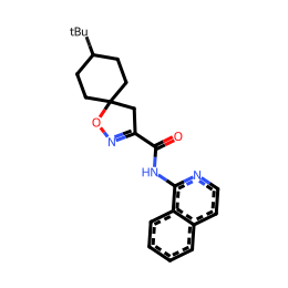 CC(C)(C)C1CCC2(CC1)CC(C(=O)Nc1nccc3ccccc13)=NO2